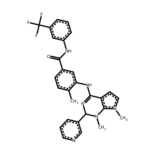 Cc1ccc(C(=O)Nc2cccc(C(F)(F)F)c2)cc1NC1=NC(c2cccnc2)N(C)c2c1ccn2C